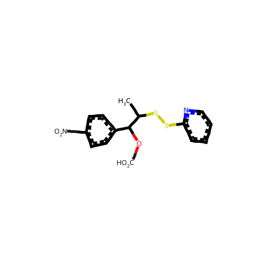 CC(SSc1ccccn1)C(OC(=O)O)c1ccc([N+](=O)[O-])cc1